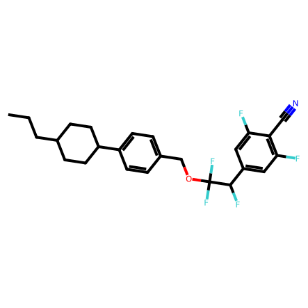 CCCC1CCC(c2ccc(COC(F)(F)C(F)c3cc(F)c(C#N)c(F)c3)cc2)CC1